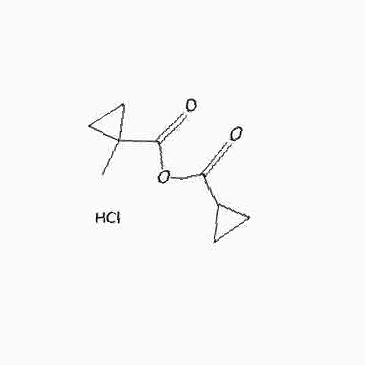 CC1(C(=O)OC(=O)C2CC2)CC1.Cl